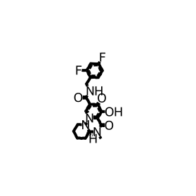 CN1C(=O)c2c(O)c(=O)c(C(=O)NCc3ccc(F)cc3F)cn2N2CCCC[C@@H]12